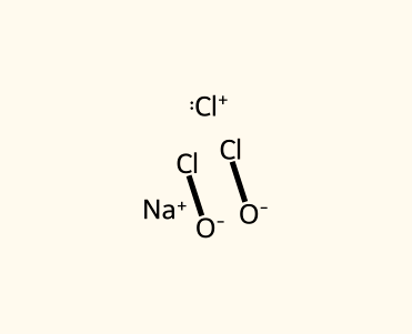 [Cl+].[Na+].[O-]Cl.[O-]Cl